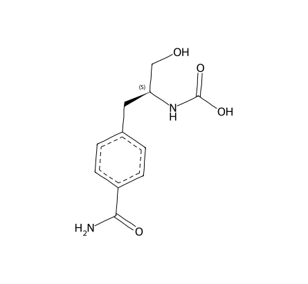 NC(=O)c1ccc(C[C@@H](CO)NC(=O)O)cc1